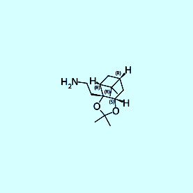 CC1(C)O[C@H]2C[C@H]3C[C@H](C3(C)C)[C@@]2(CCN)O1